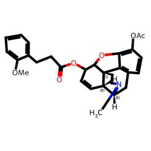 COc1ccccc1CCC(=O)OC1C=C[C@H]2[C@H]3Cc4ccc(OC(C)=O)c5c4[C@@]2(CCN3C)C1O5